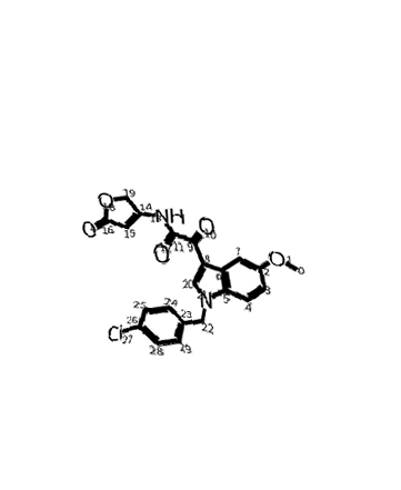 COc1ccc2c(c1)c(C(=O)C(=O)NC1=CC(=O)OC1)cn2Cc1ccc(Cl)cc1